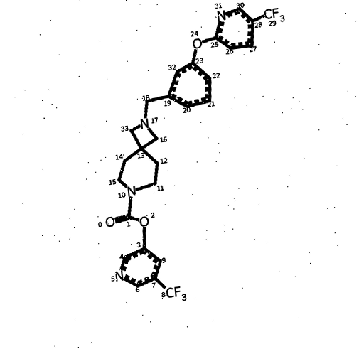 O=C(Oc1cncc(C(F)(F)F)c1)N1CCC2(CC1)CN(Cc1cccc(Oc3ccc(C(F)(F)F)cn3)c1)C2